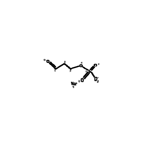 O=CCCOS(=O)(=O)[O-].[Na+]